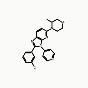 CC1CNCCN1c1ccc2nc(-c3cccc(Cl)c3)n(-c3ccncc3)c2n1